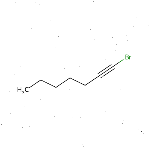 CCCCCC#CBr